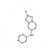 [O-][n+]1cc2cc(Nc3ccncc3)ccc2s1